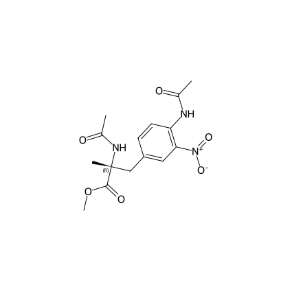 COC(=O)[C@@](C)(Cc1ccc(NC(C)=O)c([N+](=O)[O-])c1)NC(C)=O